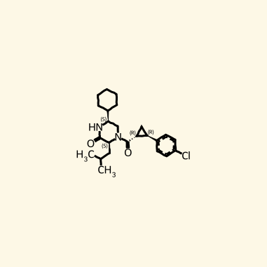 CC(C)C[C@H]1C(=O)N[C@@H](C2CCCCC2)CN1C(=O)[C@@H]1C[C@H]1c1ccc(Cl)cc1